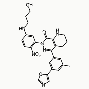 Cc1cc(-c2cnco2)cc(-c2nn(-c3cc(NCCCO)ccc3[N+](=O)[O-])c(=O)c3c2CCCN3)c1